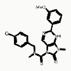 COc1cccc(C2N=Cc3c(n(C)c(=O)n3C(=O)N(C)Cc3ccc(Cl)cc3)N2)c1